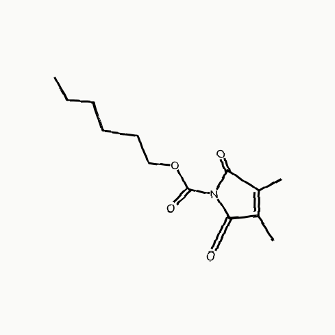 CCCCCCOC(=O)N1C(=O)C(C)=C(C)C1=O